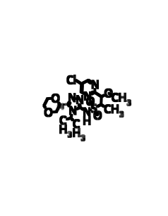 COC(c1ncc(Cl)cn1)C(C)S(=O)(=O)Nc1nnc([C@@H]2COCCO2)n1C(C)C